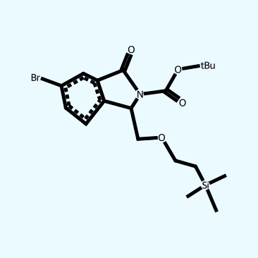 CC(C)(C)OC(=O)N1C(=O)c2cc(Br)ccc2C1COCC[Si](C)(C)C